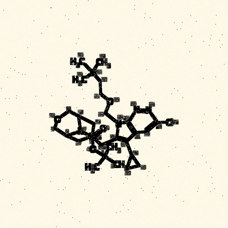 CC(C)(C)OC(=O)N1C2COCC1CN(Cc1c(C3CC3)c3cc(Cl)nnc3n1COCC[Si](C)(C)C)C2